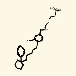 O=[PH](O)OCCCNCc1ccc(CCCCCC2(c3ccccc3)CCCCC2)c(Cl)c1